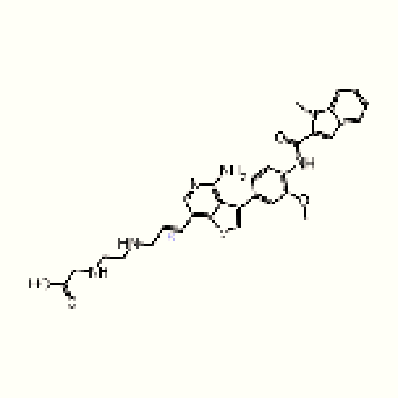 COc1cc(-c2csc3c(/C=C/CNCCNCC(=O)O)cnc(N)c23)ccc1NC(=O)c1cc2ccccc2n1C